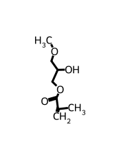 C=C(C)C(=O)OCC(O)COC